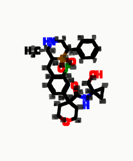 C[C@@H]1NC[C@@H](c2ccccc2)S(=O)(=O)C1Cc1ccc(C2(C(=O)NC3(CO)CC3)CCOCC2)cc1F